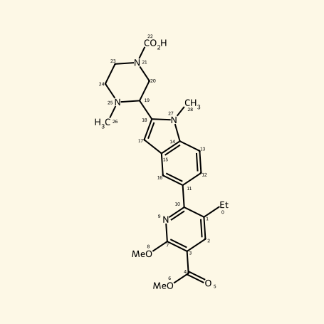 CCc1cc(C(=O)OC)c(OC)nc1-c1ccc2c(c1)cc(C1CN(C(=O)O)CCN1C)n2C